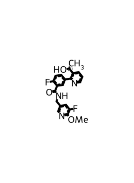 COc1ncc(CNC(=O)c2cc(-c3ncccc3[C@H](C)O)ccc2F)cc1F